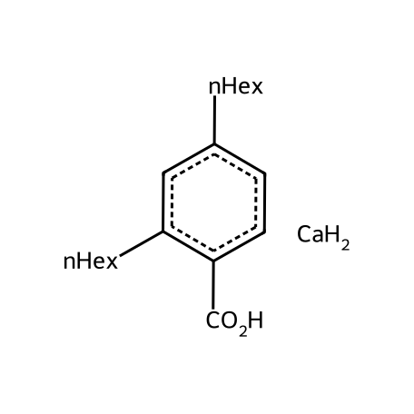 CCCCCCc1ccc(C(=O)O)c(CCCCCC)c1.[CaH2]